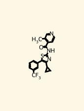 Cc1cnccc1C(=O)Nc1nc(C2CC2)c(-c2cccc(C(F)(F)F)c2)s1